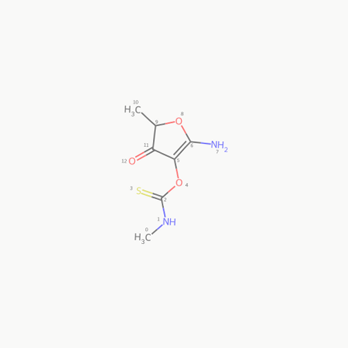 CNC(=S)OC1=C(N)OC(C)C1=O